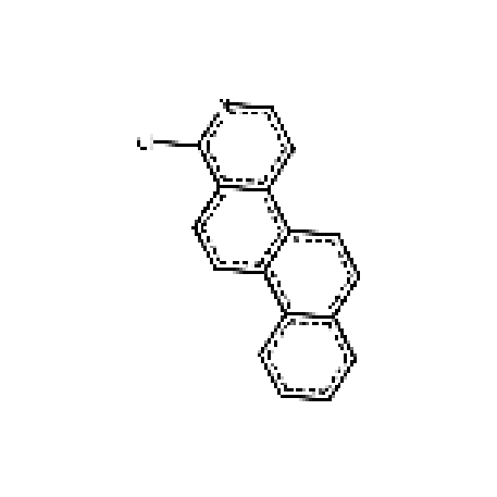 Clc1nccc2c1ccc1c3ccccc3ccc21